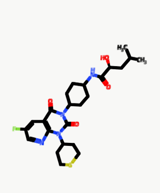 CC(C)C[C@H](O)C(=O)NC1CCC(n2c(=O)c3cc(F)cnc3n(C3CCSCC3)c2=O)CC1